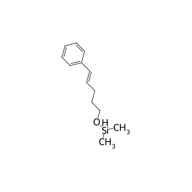 C[SiH](C)OCCCC=Cc1ccccc1